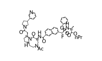 CCCOC(=O)[C@H](C)NP(=O)(Oc1ccccc1)C(F)c1ccc2ccc(C(=O)N[C@H]3CN(C(C)=O)CC[C@H]4CC[C@@H](CC(=O)N5CCC(c6cccnc6)C5)N4C3=O)cc2c1